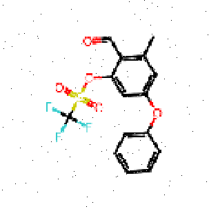 Cc1cc(Oc2ccccc2)cc(OS(=O)(=O)C(F)(F)F)c1C=O